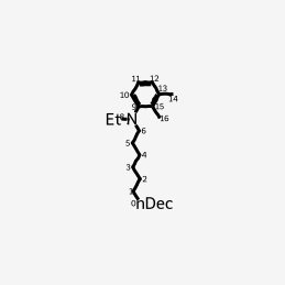 CCCCCCCCCCCCCCCCN(CC)c1cccc(C)c1C